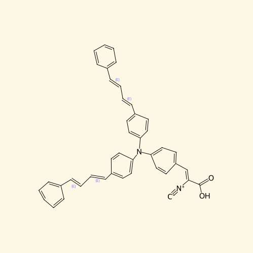 [C-]#[N+]C(=Cc1ccc(N(c2ccc(/C=C/C=C/c3ccccc3)cc2)c2ccc(/C=C/C=C/c3ccccc3)cc2)cc1)C(=O)O